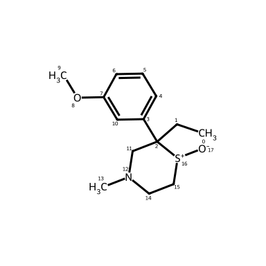 CCC1(c2cccc(OC)c2)CN(C)CC[S+]1[O-]